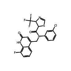 O=C(C1SC=NC1C(F)(F)F)N(Cc1cc(=O)[nH]c2c(F)cccc12)c1cccc(Cl)c1